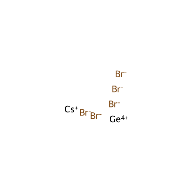 [Br-].[Br-].[Br-].[Br-].[Br-].[Cs+].[Ge+4]